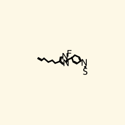 C=CCCCCc1cnc(C2(F)C=CC(N=C=S)=CC2)nc1